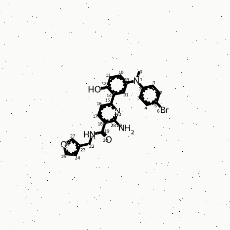 CN(c1ccc(Br)cc1)c1ccc(O)c(-c2ccc(C(=O)NCc3ccoc3)c(N)n2)c1